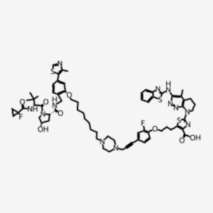 Cc1ncsc1-c1ccc(CNC(=O)[C@@H]2C[C@@H](O)CN2C(=O)[C@@H](NC(=O)C2(F)CC2)C(C)(C)C)c(OCCCCCCCCCN2CCN(CC#Cc3ccc(OCCCc4sc(N5CCCc6c5nnc(Nc5nc7ccccc7s5)c6C)nc4C(=O)O)c(F)c3)CC2)c1